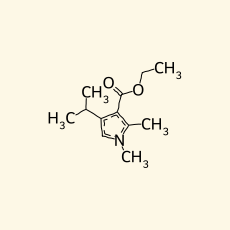 CCOC(=O)c1c(C(C)C)cn(C)c1C